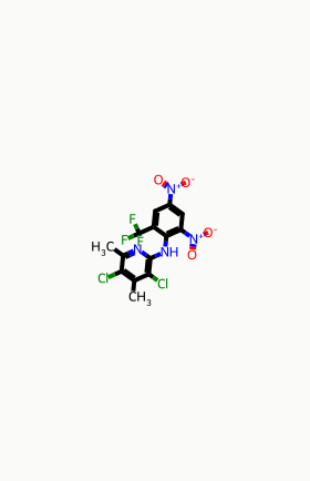 Cc1nc(Nc2c([N+](=O)[O-])cc([N+](=O)[O-])cc2C(F)(F)F)c(Cl)c(C)c1Cl